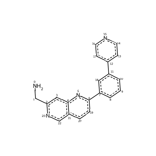 NCc1cc2nc(-c3cccc(-c4ccncc4)c3)ccc2cn1